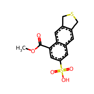 COC(=O)c1cc(S(=O)(=O)O)cc2cc3c(cc12)CSC3